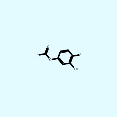 CCC(=O)Oc1ccc(F)c(C)c1